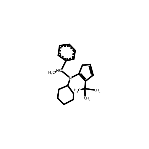 C[SiH](c1ccccc1)N(C1=C(C(C)(C)C)C=CC1)C1CCCCC1